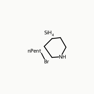 C1CCNCC1.CCCCCBr.[SiH4]